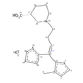 Cc1ccsc1/C(=C/CCN1CCCC(C(=O)O)C1)c1cccs1.Cl